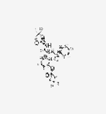 CC(C)(C)CC(=O)Oc1cccc2c1CC(c1ccccc1)C=C2CNC(=O)OC(C)(C)C